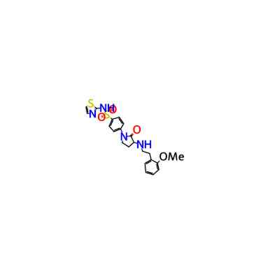 COc1ccccc1CCNC1CCN(c2ccc(S(=O)(=O)Nc3nccs3)cc2)C1=O